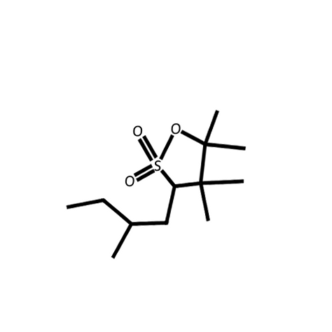 CCC(C)CC1C(C)(C)C(C)(C)OS1(=O)=O